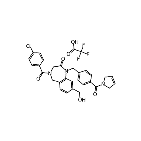 O=C(O)C(F)(F)F.O=C(c1ccc(CN2C(=O)CN(C(=O)c3ccc(Cl)cc3)Cc3ccc(CO)cc32)cc1)N1CC=CC1